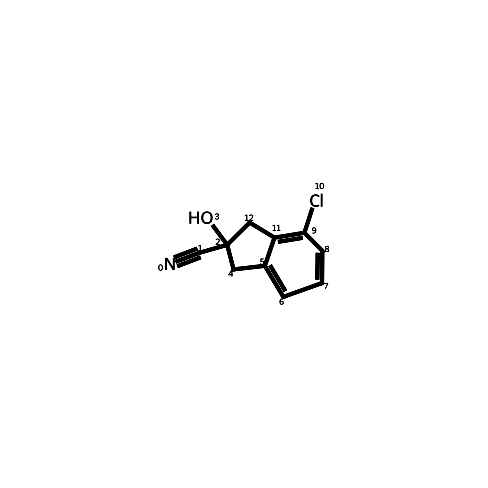 N#CC1(O)Cc2cccc(Cl)c2C1